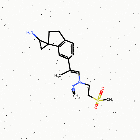 C=NN(/C=C(\C)c1ccc2c(c1)C1(CC2)CC1N)CCS(C)(=O)=O